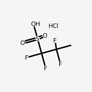 CC(F)(F)C(F)(F)S(=O)(=O)O.Cl